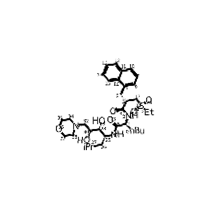 CCCC[C@H](NC(=O)[C@H](Cc1cccc2ccccc12)CS(=O)(=O)CC)C(=O)N[C@@H](CC(C)C)[C@@H](O)[C@@H](O)CN1CCOCC1